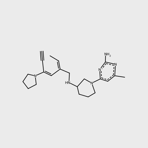 C#C/C(=C\C(=C/C)CNC1CCCN(c2cc(C)nc(N)n2)C1)N1CCCC1